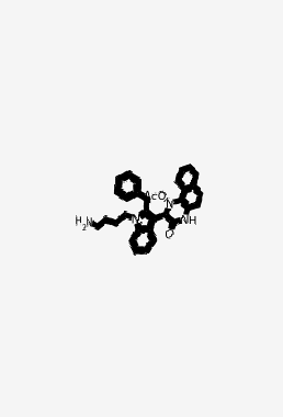 CC(=O)ON1c2c(ccc3ccccc23)NC(=O)C1c1c(Cc2ccccc2)n(CCCCN)c2ccccc12